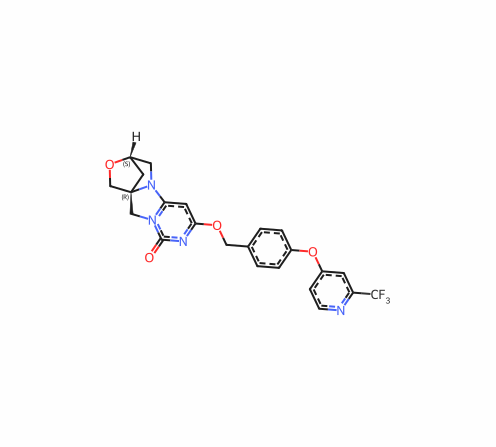 O=c1nc(OCc2ccc(Oc3ccnc(C(F)(F)F)c3)cc2)cc2n1C[C@]13CO[C@H](CN21)C3